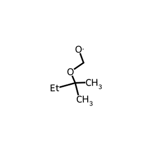 CCC(C)(C)OC[O]